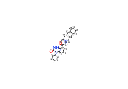 NC(=O)N(c1ccccc1)c1cccc(C(=O)CN2CCC(Cc3ccccc3)CC2)c1